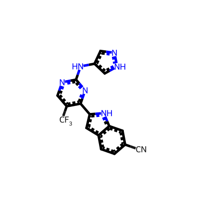 N#Cc1ccc2cc(-c3nc(Nc4cn[nH]c4)ncc3C(F)(F)F)[nH]c2c1